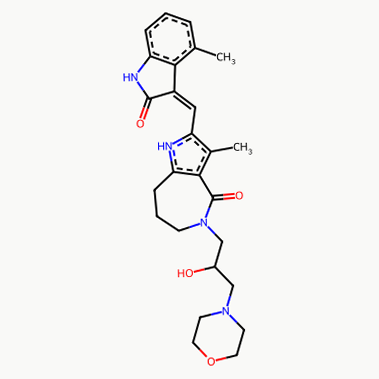 Cc1cccc2c1/C(=C/c1[nH]c3c(c1C)C(=O)N(CC(O)CN1CCOCC1)CCC3)C(=O)N2